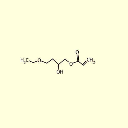 C=CC(=O)OCC(O)CCOCC